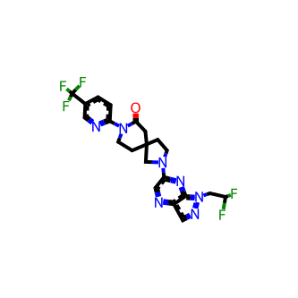 O=C1CC2(CCN(c3cnc4cnn(CC(F)F)c4n3)C2)CCN1c1ccc(C(F)(F)F)cn1